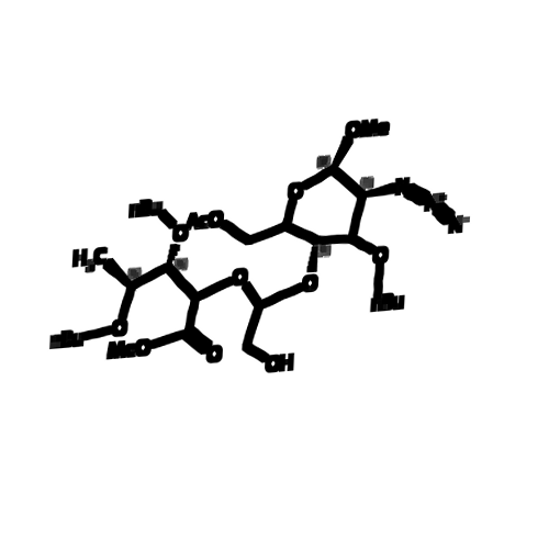 CCCCOC1[C@H](OC(CO)OC(C(=O)OC)[C@@H](OCCCC)[C@H](C)OCCCC)C(COC(C)=O)O[C@@H](OC)[C@H]1N=[N+]=[N-]